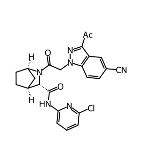 CC(=O)c1nn(CC(=O)N2[C@@H]3CC[C@@H](C3)[C@H]2C(=O)Nc2cccc(Cl)n2)c2ccc(C#N)cc12